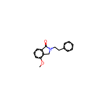 COc1cccc2c1CN(CCc1ccccc1)C2=O